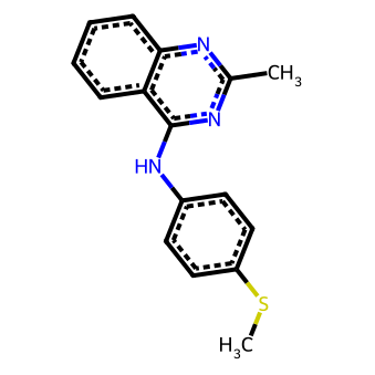 CSc1ccc(Nc2nc(C)nc3ccccc23)cc1